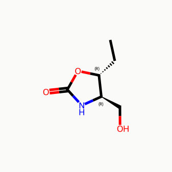 CC[C@H]1OC(=O)N[C@@H]1CO